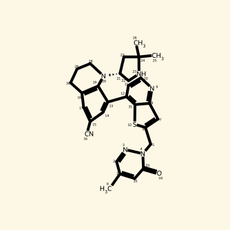 Cc1cnn(Cc2cc3nccc(-c4cc(C#N)cc5c4N([C@H]4CNC(C)(C)C4)CCC5)c3s2)c(=O)c1